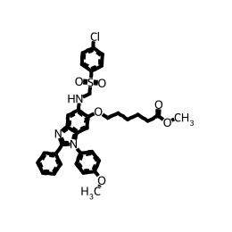 COC(=O)CCCCCOc1cc2c(cc1NCS(=O)(=O)c1ccc(Cl)cc1)nc(-c1ccccc1)n2-c1ccc(OC)cc1